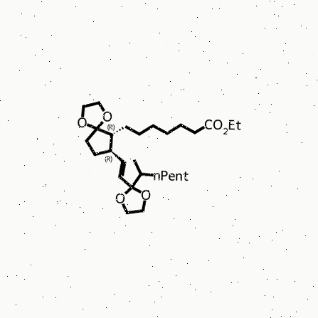 CCCCCC(C)C1(C=C[C@H]2CCC3(OCCO3)[C@@H]2CCCCCCC(=O)OCC)OCCO1